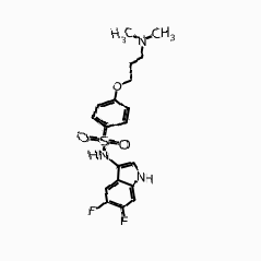 CN(C)CCCOc1ccc(S(=O)(=O)Nc2c[nH]c3cc(F)c(F)cc23)cc1